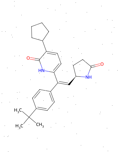 CC(C)(C)c1ccc(C(=C[C@H]2CCC(=O)N2)c2ccc(C3CCCC3)c(=O)[nH]2)cc1